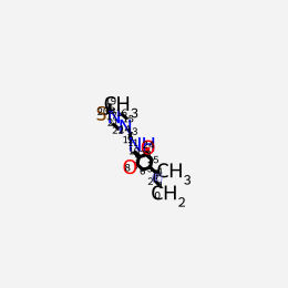 C=C/C=C(\C)C1CC(=O)C(=CNCCN2CCN(C(C)=S)CC2)C(=O)C1